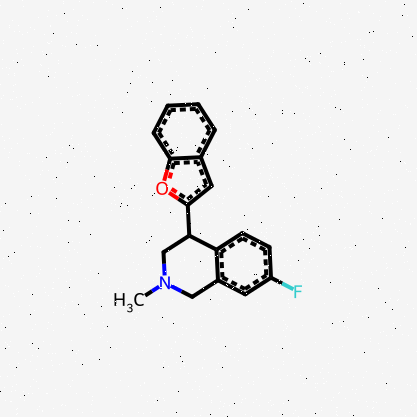 CN1Cc2cc(F)ccc2C(c2cc3ccccc3o2)C1